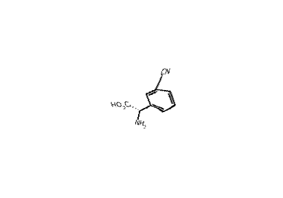 N#Cc1cccc([C@H](N)C(=O)O)c1